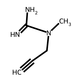 C#CCN(C)C(=N)N